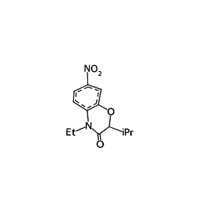 CCN1C(=O)C(C(C)C)Oc2cc([N+](=O)[O-])ccc21